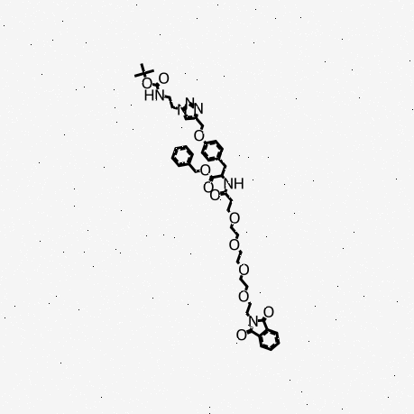 CC(C)(C)OC(=O)NCCn1cc(COc2ccc(CC(NC(=O)CCOCCOCCOCCOCCN3C(=O)c4ccccc4C3=O)C(=O)OCc3ccccc3)cc2)nn1